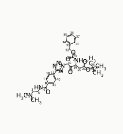 CN(C)CCNC(=O)c1ccc(-c2nnn(CC(=O)C(CC(=O)OC(C)(C)C)NC(=O)OCc3ccccc3)n2)cc1